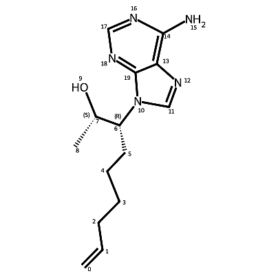 C=CCCCC[C@H]([C@H](C)O)n1cnc2c(N)ncnc21